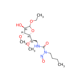 CCCCN(N=O)C(=O)NC[C@@H](OC)[C@H]1OC(OCC)[C@H](O)[C@H]1OC